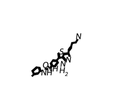 Cc1cccc(NC(=O)Nc2ccc(-c3csc4c(C#CCCC#N)cnc(N)c34)cc2)c1